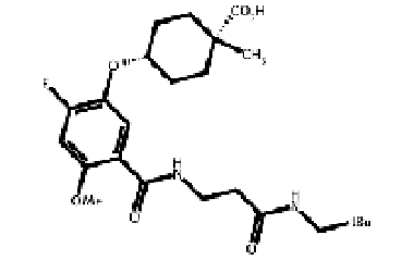 COc1cc(F)c(O[C@H]2CC[C@@](C)(C(=O)O)CC2)cc1C(=O)NCCC(=O)NCC(C)(C)C